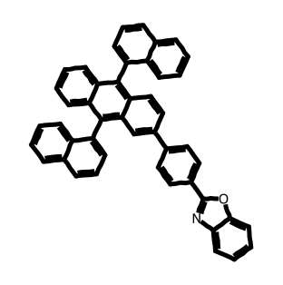 c1ccc2c(-c3c4ccccc4c(-c4cccc5ccccc45)c4cc(-c5ccc(-c6nc7ccccc7o6)cc5)ccc34)cccc2c1